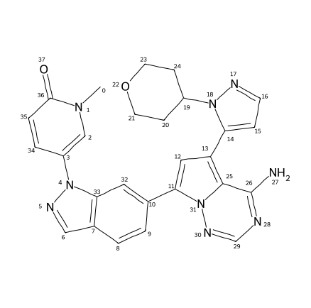 Cn1cc(-n2ncc3ccc(-c4cc(-c5ccnn5C5CCOCC5)c5c(N)ncnn45)cc32)ccc1=O